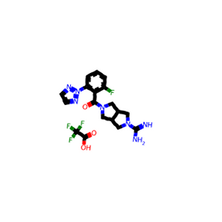 N=C(N)N1CC2CN(C(=O)c3c(F)cccc3-n3nccn3)CC2C1.O=C(O)C(F)(F)F